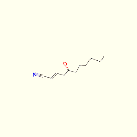 CCCCCCC(=O)CC=CC#N